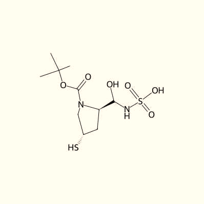 CC(C)(C)OC(=O)N1C[C@@H](S)C[C@@H]1C(O)NS(=O)(=O)O